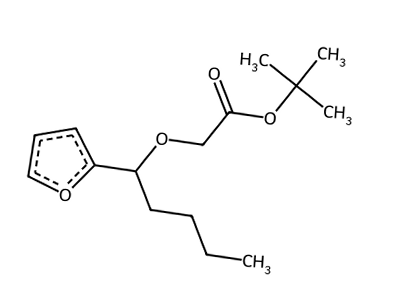 CCCCC(OCC(=O)OC(C)(C)C)c1ccco1